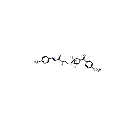 Nc1ccc(/C=C/C(=O)NCC[C@@H]2[C@H]3CN(C(=O)c4ccc(C(=O)O)cc4)C[C@@H]23)cn1